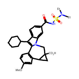 CCN(CC)S(=O)(=O)NC(=O)c1ccc2c(C3CCCCC3)c3n(c2c1)CC1(C(=O)O)CC1c1cc(OC)ccc1-3